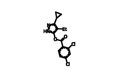 CCc1c(C2CC2)n[nH]c1OC(=O)c1ccc(Cl)cc1Cl